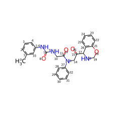 Cc1cccc(NC(=O)NCC(=O)N(CC(=O)C2NCOc3ccccc32)c2ccccc2)c1